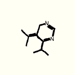 CC(C)=C1CN=CN=C1C(C)C